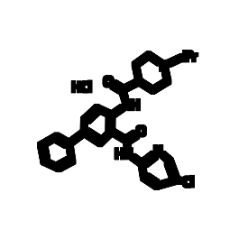 CC(C)N1CCC(C(=O)Nc2ccc(-c3ccccc3)cc2C(=O)Nc2ccc(Cl)cn2)CC1.Cl